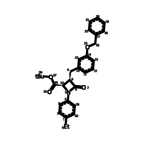 CCc1ccc(N2C(=O)[C@@H](Cc3cccc(OCc4ccccc4)c3)[C@H]2C(=O)OC(C)(C)C)cc1